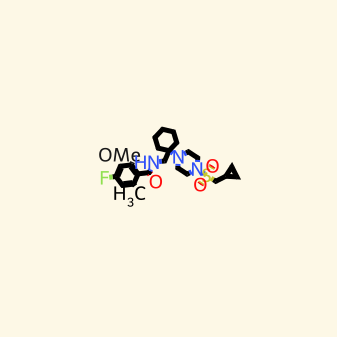 COc1cc(F)cc(C)c1C(=O)NCC1(N2CCN(S(=O)(=O)CC3CC3)CC2)CCCCC1